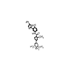 Cc1cc(N2C[C@@H](C)N(C)[C@@H](C)C2)ccc1C(=O)Nc1ccc(Cl)c(-c2ncc(C(C)C)[nH]2)c1